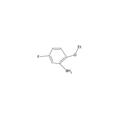 Bc1cc(F)ccc1OCC